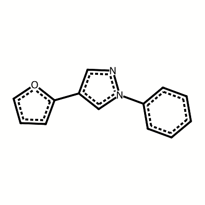 c1ccc(-n2cc(-c3ccco3)cn2)cc1